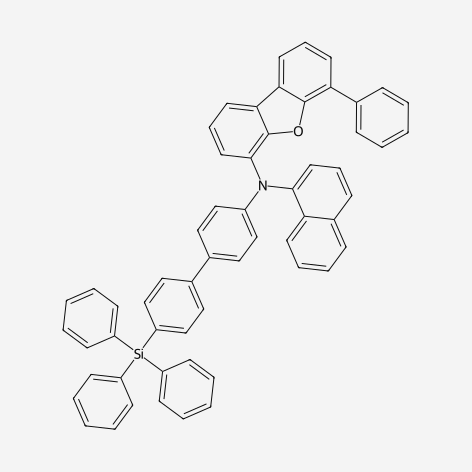 c1ccc(-c2cccc3c2oc2c(N(c4ccc(-c5ccc([Si](c6ccccc6)(c6ccccc6)c6ccccc6)cc5)cc4)c4cccc5ccccc45)cccc23)cc1